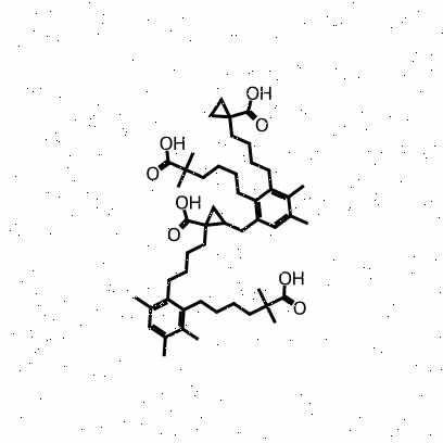 Cc1cc(C)c(CCCCC2(C(=O)O)CC2Cc2cc(C)c(C)c(CCCCC3(C(=O)O)CC3)c2CCCCC(C)(C)C(=O)O)c(CCCCC(C)(C)C(=O)O)c1C